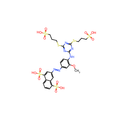 COc1cc(N=Nc2cc(S(=O)(=O)O)c3cccc(S(=O)(=O)O)c3c2)ccc1Nc1nc(SCCCS(=O)(=O)O)nc(SCCCS(=O)(=O)O)n1